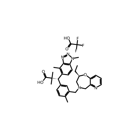 CC[C@@H]1CN(Cc2cc([C@@H](c3ccc4c(nnn4C)c3C)C(C)(C)C(=O)O)ccc2C)Cc2ncccc2O1.O=C(O)C(F)(F)F